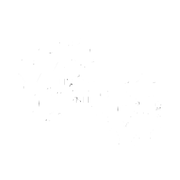 CC1(C)c2cc3ccccc3cc2-c2c(/C(=C/Cc3cccc(-c4cccc5oc6ccc7ccccc7c6c45)c3)NC(N)c3ccccc3)cccc21